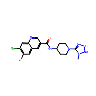 CN1NNN=C1N1CCC(NC(=O)c2cnc3cc(Br)c(Cl)cc3c2)CC1